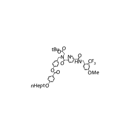 CCCCCCCOc1ccc(C(=O)Oc2ccc(CN(CC(=O)OC(C)(C)C)C(=O)c3ccc(C(=O)NCc4ccc(OC)cc4C(F)(F)F)cn3)cc2)cc1